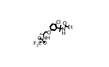 CCC(=O)NC(C)(C)c1cc(OC[C@H](C)NS(=O)(=O)C(F)(F)F)ccc1Cl